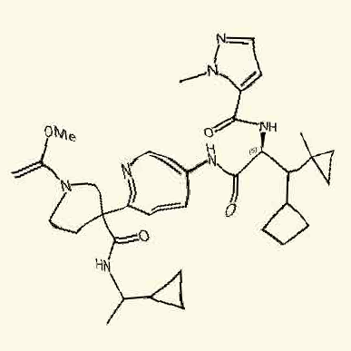 C=C(OC)N1CCC(C(=O)NC(C)C2CC2)(c2ccc(NC(=O)[C@@H](NC(=O)c3ccnn3C)C(C3CCC3)C3(C)CC3)cn2)C1